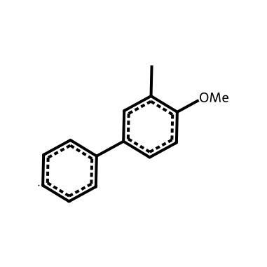 COc1ccc(-c2cc[c]cc2)cc1C